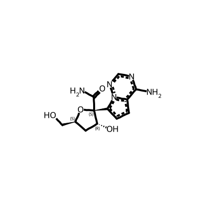 NC(=O)[C@@]1(c2ccc3c(N)ncnn23)O[C@H](CO)C[C@H]1O